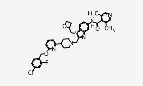 Cc1cncc(C)c1C(=O)Nc1ccc2c(c1)nc(CN1CCC(c3cccc(OCc4ccc(Cl)cc4F)n3)CC1)n2CC1CCO1